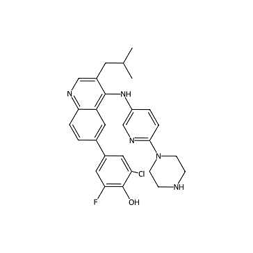 CC(C)Cc1cnc2ccc(-c3cc(F)c(O)c(Cl)c3)cc2c1Nc1ccc(N2CCNCC2)nc1